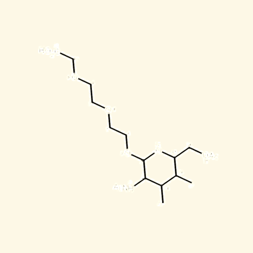 CC(=O)NC1C(OCCOCCOCC(=O)O)OC(COC(C)=O)C(C)C1C